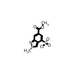 COC(=O)c1cc(S(=O)(=O)Cl)c2cn(C)nc2c1